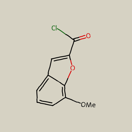 COc1cccc2cc(C(=O)Cl)oc12